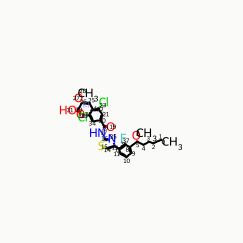 CCCCCC(OC)c1cccc(-c2csc(NC(=O)c3cc(Cl)c(/C=C(/OC)C(=O)O)c(Cl)c3)n2)c1F